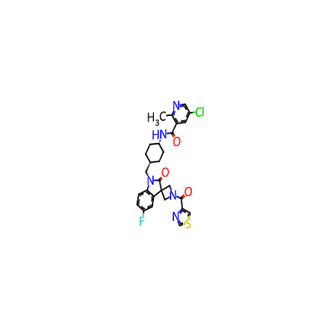 Cc1ncc(Cl)cc1C(=O)N[C@H]1CC[C@H](CN2C(=O)C3(CN(C(=O)c4cscn4)C3)c3cc(F)ccc32)CC1